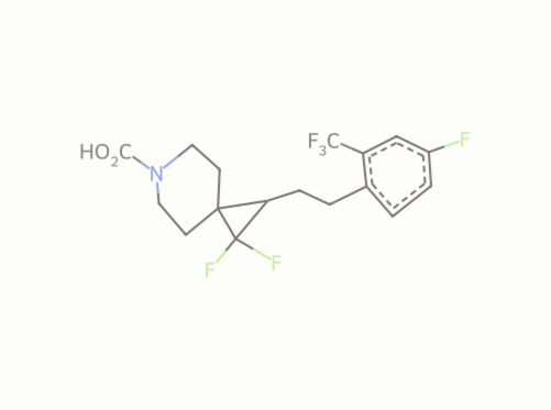 O=C(O)N1CCC2(CC1)C(CCc1ccc(F)cc1C(F)(F)F)C2(F)F